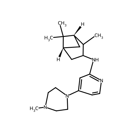 CC1C(Nc2cc(N3CCN(C)CC3)ccn2)C[C@H]2C[C@@H]1C2(C)C